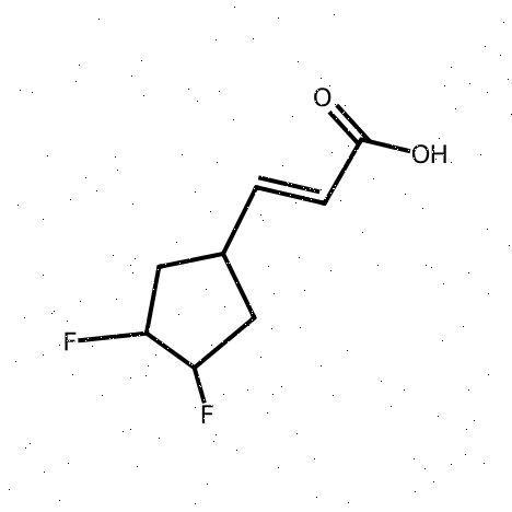 O=C(O)C=CC1CC(F)C(F)C1